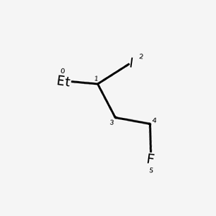 CCC(I)CCF